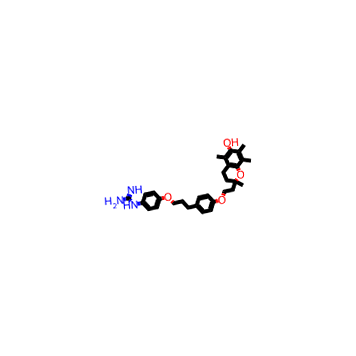 Cc1c(C)c2c(c(C)c1O)CCC(C)(CCOc1ccc(CCCOc3ccc(NC(=N)N)cc3)cc1)O2